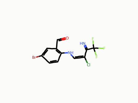 N=C(/C(Cl)=C\Nc1ccc(Br)cc1C=O)C(F)(F)F